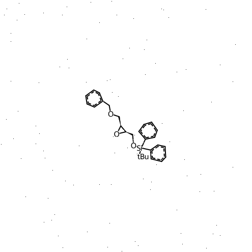 CC(C)(C)[Si](OC[C@H]1O[C@H]1COCc1ccccc1)(c1ccccc1)c1ccccc1